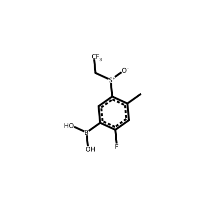 Cc1cc(F)c(B(O)O)cc1[S+]([O-])CC(F)(F)F